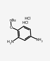 CCCCOc1ccc(N)cc1N.Cl.Cl